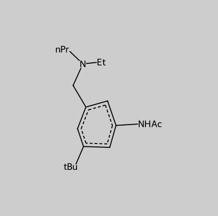 CCCN(CC)Cc1cc(NC(C)=O)cc(C(C)(C)C)c1